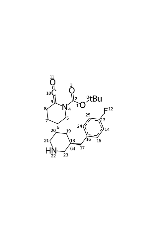 CC(C)(C)OC(=O)N1CCCCC1=C=O.Fc1ccc(C[C@@H]2CCCNC2)cc1